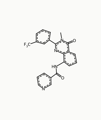 Cn1c(-c2cccc(C(F)(F)F)c2)nc2c(NC(=O)c3cccnc3)cccc2c1=O